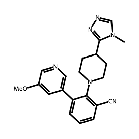 COc1cncc(-c2cccc(C#N)c2N2CCC(c3nncn3C)CC2)c1